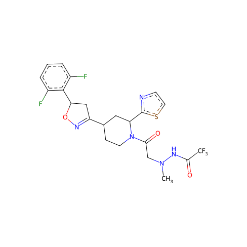 CN(CC(=O)N1CCC(C2=NOC(c3c(F)cccc3F)C2)CC1c1nccs1)NC(=O)C(F)(F)F